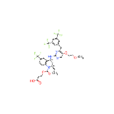 CC[C@@H]1C[C@H](Nc2ncc(OCCOC)c(Cc3cc(C(F)(F)F)cc(C(F)(F)F)c3)n2)c2cc(C(F)(F)F)ccc2N1C(=O)OCCC(=O)O